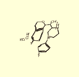 CC(C1CN(c2ccc(F)cc2)CCN1)C1OCCc2cc(F)ccc21.Cl.Cl